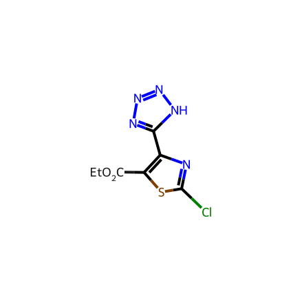 CCOC(=O)c1sc(Cl)nc1-c1nnn[nH]1